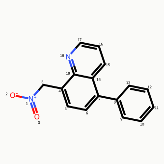 O=[N+]([O-])Cc1ccc(-c2ccccc2)c2cccnc12